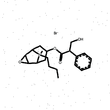 CCCC[N+]1(C)C2CC(OC(=O)C(CO)c3ccccc3)CC1C1OC12.[Br-]